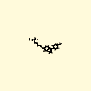 CCN(CC)CCCCOc1ccc2c(-c3ccc(Br)cc3)csc2c1